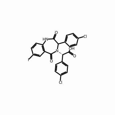 O=C1Nc2ccc(I)cc2C(=O)N([C@H](C(=O)O)c2ccc(Cl)cc2)C1c1ccc(Cl)cc1